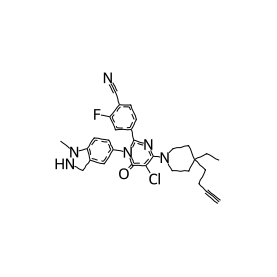 C#CCCC1(CC)CCN(c2nc(-c3ccc(C#N)c(F)c3)n(-c3ccc4c(c3)CNN4C)c(=O)c2Cl)CC1